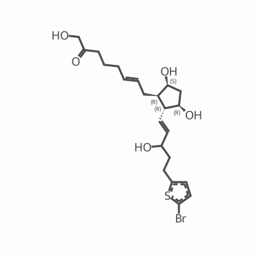 O=C(CO)CCCC=CC[C@@H]1[C@@H](C=CC(O)CCc2ccc(Br)s2)[C@H](O)C[C@@H]1O